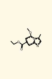 CCOC(=O)c1cc(OC)n2c(C)cnc2c1